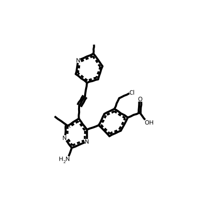 Cc1ccc(C#Cc2c(C)nc(N)nc2-c2ccc(C(=O)O)c(CCl)c2)cn1